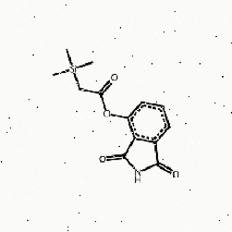 C[Si](C)(C)CC(=O)Oc1cccc2c1C(=O)NC2=O